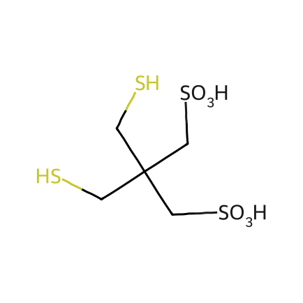 O=S(=O)(O)CC(CS)(CS)CS(=O)(=O)O